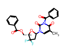 Cc1cn(C2CC(F)(F)[C@H](COC(=O)c3ccccc3)O2)c(=O)n(C(=O)c2ccccc2)c1=O